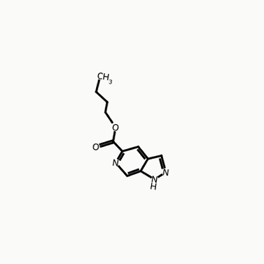 CCCCOC(=O)c1cc2cn[nH]c2cn1